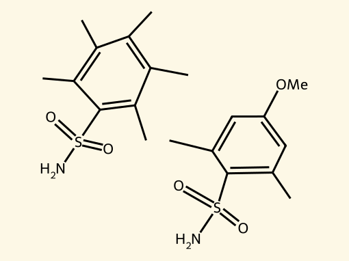 COc1cc(C)c(S(N)(=O)=O)c(C)c1.Cc1c(C)c(C)c(S(N)(=O)=O)c(C)c1C